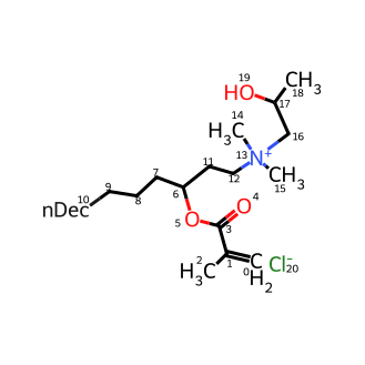 C=C(C)C(=O)OC(CCCCCCCCCCCCC)CC[N+](C)(C)CC(C)O.[Cl-]